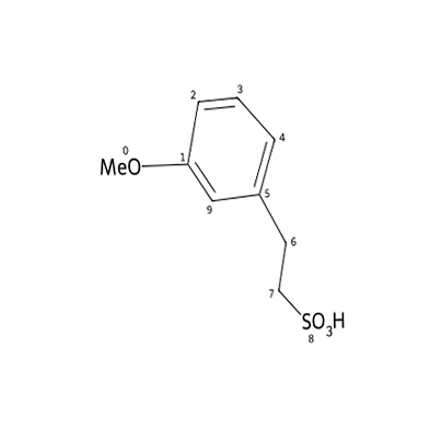 COc1cccc(CCS(=O)(=O)O)c1